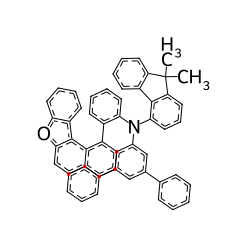 CC1(C)c2ccccc2-c2c(N(c3cc(-c4ccccc4)cc(-c4ccccc4)c3)c3ccccc3-c3cccc4ccc5oc6ccccc6c5c34)cccc21